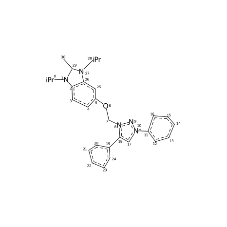 CC(C)N1c2ccc(OCn3n[n+](-c4ccccc4)cc3-c3ccccc3)cc2N(C(C)C)C1C